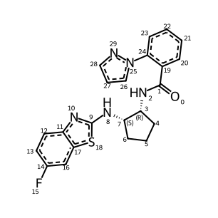 O=C(N[C@@H]1CCC[C@@H]1Nc1nc2ccc(F)cc2s1)c1ccccc1-n1cccn1